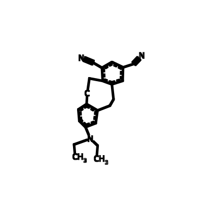 CCN(CC)c1ccc2c(c1)CCc1cc(C#N)cc(C#N)c1CC2